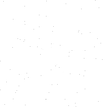 CC(C)n1c(Cc2ccc(C(F)(F)F)cc2)nc2ccc(NC(c3ccccc3)c3ccccc3)cc21